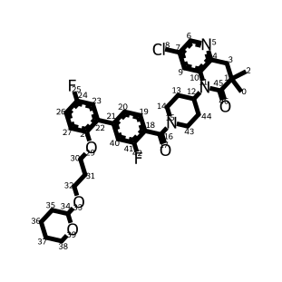 CC1(C)Cc2ncc(Cl)cc2N(C2CCN(C(=O)c3ccc(-c4cc(F)ccc4OCCCOC4CCCCO4)cc3F)CC2)C1=O